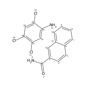 NC(=O)c1ccc2ccccc2c1.Nc1cc(Cl)c(Cl)cc1Cl